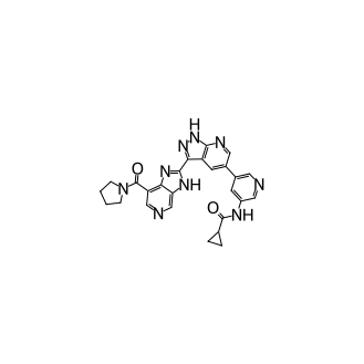 O=C(Nc1cncc(-c2cnc3[nH]nc(-c4nc5c(C(=O)N6CCCC6)cncc5[nH]4)c3c2)c1)C1CC1